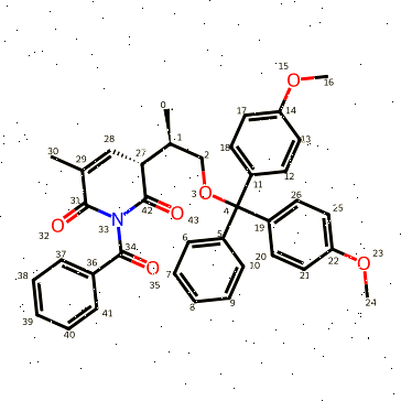 [CH2][C@@H](COC(c1ccccc1)(c1ccc(OC)cc1)c1ccc(OC)cc1)[C@H]1C=C(C)C(=O)N(C(=O)c2ccccc2)C1=O